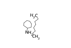 CCCCCCCC.NC1CCCCCC1